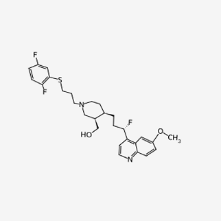 COc1ccc2nccc([C@@H](F)CC[C@@H]3CCN(CCCSc4cc(F)ccc4F)C[C@@H]3CO)c2c1